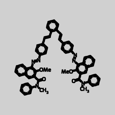 COc1c(C(=O)N(C)c2ccccc2)cc2ccccc2c1N=Nc1ccc(C=Cc2ccccc2C=Cc2ccc(N=Nc3c(OC)c(C(=O)N(C)c4ccccc4)cc4ccccc34)cc2)cc1